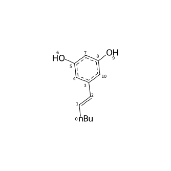 CCCCC=Cc1cc(O)cc(O)c1